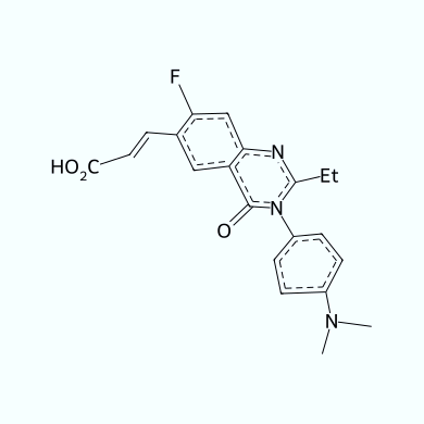 CCc1nc2cc(F)c(C=CC(=O)O)cc2c(=O)n1-c1ccc(N(C)C)cc1